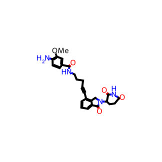 COc1cc(C(=O)NCCCC#Cc2cccc3c2CN(C2CCC(=O)NC2=O)C3=O)ccc1N